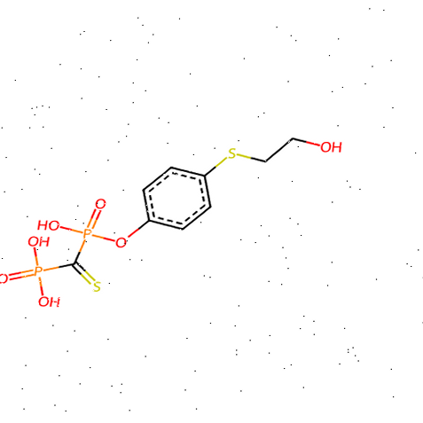 O=P(O)(O)C(=S)P(=O)(O)Oc1ccc(SCCO)cc1